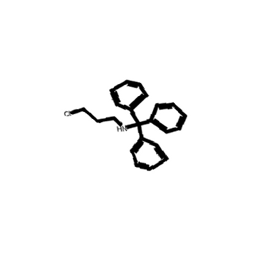 ClCCCNC(c1ccccc1)(c1ccccc1)c1ccccc1